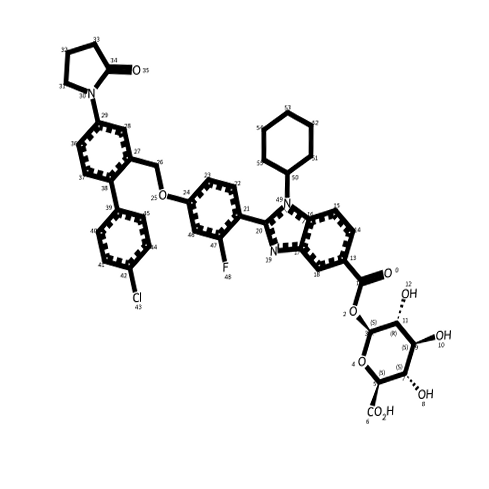 O=C(O[C@@H]1O[C@H](C(=O)O)[C@@H](O)[C@H](O)[C@H]1O)c1ccc2c(c1)nc(-c1ccc(OCc3cc(N4CCCC4=O)ccc3-c3ccc(Cl)cc3)cc1F)n2C1CCCCC1